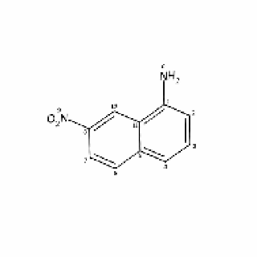 Nc1cccc2ccc([N+](=O)[O-])cc12